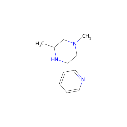 CC1CN(C)CCN1.c1ccncc1